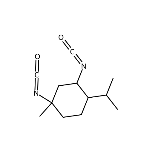 CC(C)C1CCC(C)(N=C=O)CC1N=C=O